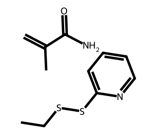 C=C(C)C(N)=O.CCSSc1ccccn1